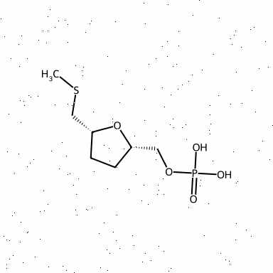 CSC[C@H]1CC[C@@H](COP(=O)(O)O)O1